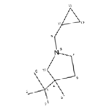 CC(C)(C)C1(C)CCN(CC2CC2)C1